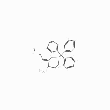 COCC=C1CN(C(c2ccccc2)(c2ccccc2)c2ccccc2)CCC1O